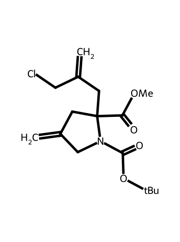 C=C(CCl)CC1(C(=O)OC)CC(=C)CN1C(=O)OC(C)(C)C